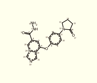 NNC(=O)c1cc(Oc2ccc(N3CCCC3=O)cc2)c2cncn2c1